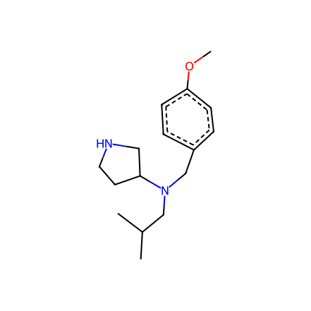 COc1ccc(CN(CC(C)C)C2CCNC2)cc1